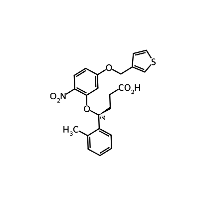 Cc1ccccc1[C@H](CCC(=O)O)Oc1cc(OCc2ccsc2)ccc1[N+](=O)[O-]